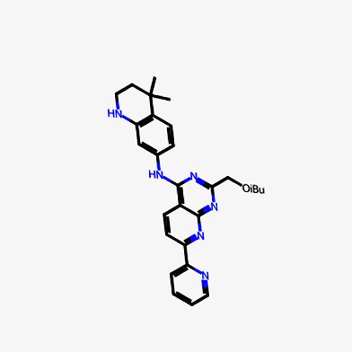 CC(C)COCc1nc(Nc2ccc3c(c2)NCCC3(C)C)c2ccc(-c3ccccn3)nc2n1